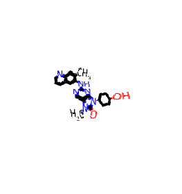 Cc1cc2ncccc2cc1Nc1ncc2c(n1)n([C@H]1CC[C@H](O)CC1)c(=O)n2C